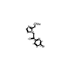 COCc1nccn1CC(=O)c1ccc(Br)cn1